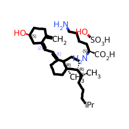 C=C1CC[C@H](O)C/C1=C/C=C1\CCC[C@@]2(C)C1CC[C@@H]2[C@H](C)CCCC(C)C.NCCCC[C@H](N)C(=O)O.O=S(=O)(O)O